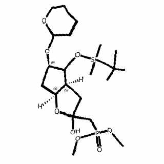 COP(=O)(CC1(O)C[C@@H]2C(O[Si](C)(C)C(C)(C)C)[C@H](OC3CCCCO3)C[C@@H]2O1)OC